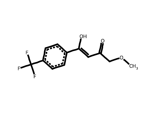 COCC(=O)C=C(O)c1ccc(C(F)(F)F)cc1